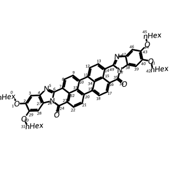 CCCCCCOc1cc2nc3c4ccc5c6ccc7c8c(ccc(c9ccc(c(=O)n3c2cc1OCCCCCC)c4c95)c68)c(=O)n1c2cc(OCCCCCC)c(OCCCCCC)cc2nc71